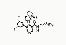 CC(C)OCCNC(=O)c1cncc(-c2cc(F)cc(F)c2)c1N1CCC2(CCCN2)C1